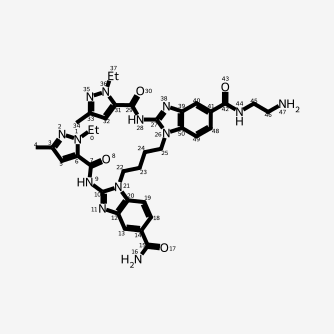 CCn1nc(C)cc1C(=O)Nc1nc2cc(C(N)=O)ccc2n1CCCCn1c(NC(=O)c2cc(C)nn2CC)nc2cc(C(=O)NCCN)ccc21